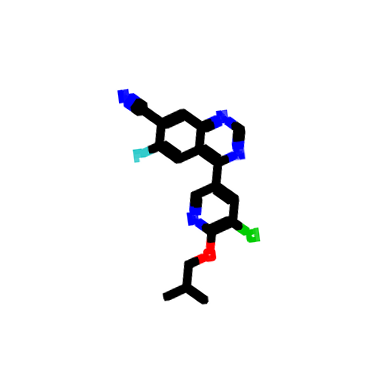 CC(C)COc1ncc(-c2ncnc3cc(C#N)c(F)cc23)cc1Cl